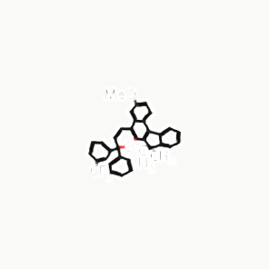 COc1ccc2c3c(c4c(c2c1)C=CC(c1ccccc1)(c1cccc(C(F)(F)F)c1)O4)C(C)(C)c1ccccc1-3